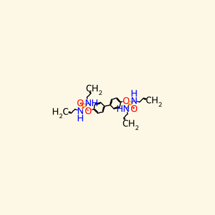 C=CCNP(=O)(NCC=C)Oc1ccc(-c2ccc(OP(=O)(NCC=C)NCC=C)cc2)cc1